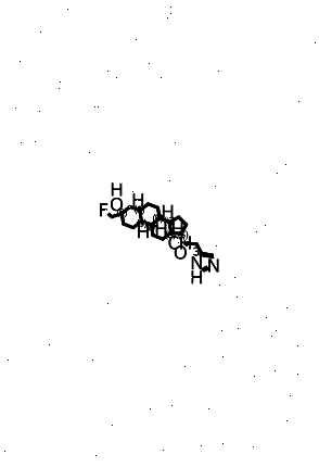 C[C@]12CC[C@H]3[C@@H](CC[C@H]4C[C@@](O)(CF)CC[C@@H]43)[C@@H]1CC[C@@H]2C(=O)Cc1cnc[nH]1